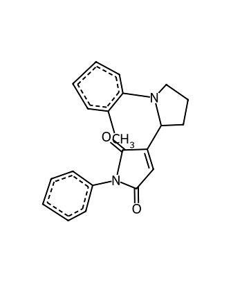 Cc1ccccc1N1CCCC1C1=CC(=O)N(c2ccccc2)C1=O